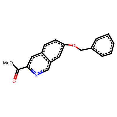 COC(=O)c1cc2ccc(OCc3ccccc3)cc2cn1